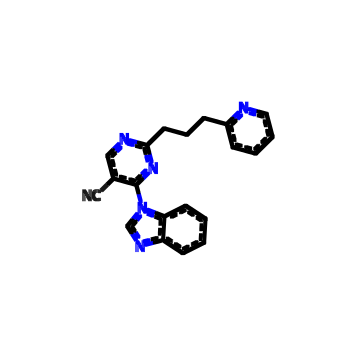 N#Cc1cnc(CCCc2ccccn2)nc1-n1cnc2ccccc21